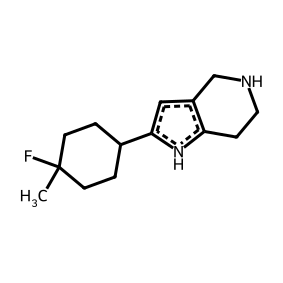 CC1(F)CCC(c2cc3c([nH]2)CCNC3)CC1